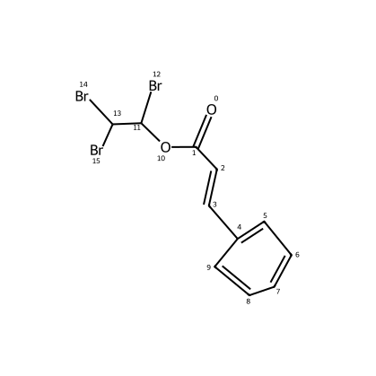 O=C(C=Cc1ccccc1)OC(Br)C(Br)Br